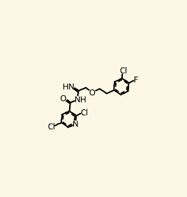 N=C(COCCc1ccc(F)c(Cl)c1)NC(=O)c1cc(Cl)cnc1Cl